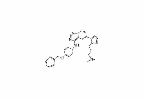 CN(C)CCCn1cncc1-c1ccc2ncnc(Nc3ccc(OCc4ccccc4)cc3)c2c1